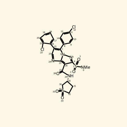 CNS(=O)(=O)c1nn2c(-c3ccc(Cl)cc3)c(-c3ccccc3Cl)cnc2c1C(=O)N[C@@H]1CCS(=O)(=O)C1